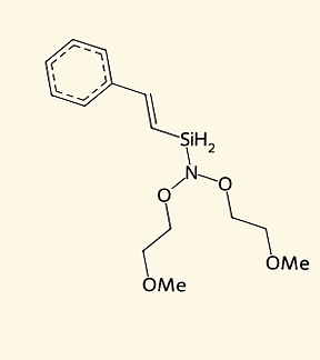 COCCON(OCCOC)[SiH2]C=Cc1ccccc1